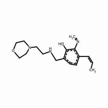 C=Nc1c(/C=C\C)ccc(CNCCN2CCOCC2)c1O